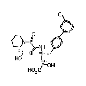 O=C(N[C@H](Cc1ccc(-c2cccc(Cl)c2)cc1)C[C@@H](O)C(=O)O)C(=O)N1CCCC[C@H]1CO